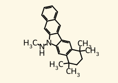 CNn1c2cc3c(cc2c2cc4ccccc4cc21)C(C)(C)CCC3(C)C